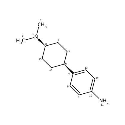 CN(C)[C@H]1CC[C@@H](c2ccc(N)cc2)CC1